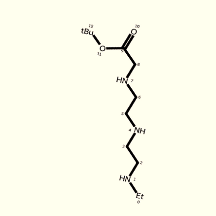 CCNCCNCCNCC(=O)OC(C)(C)C